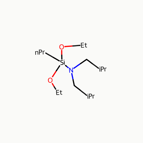 CCC[Si](OCC)(OCC)N(CC(C)C)CC(C)C